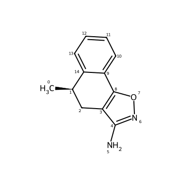 C[C@@H]1Cc2c(N)noc2-c2ccccc21